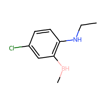 CBc1cc(Cl)ccc1NCC